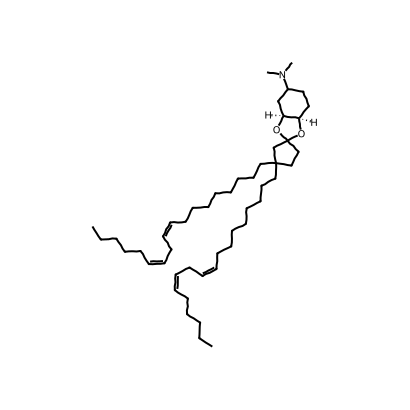 CCCCC/C=C\C/C=C\CCCCCCCCC1(CCCCCCCC/C=C\C/C=C\CCCCC)CCC2(C1)O[C@H]1CC(N(C)C)CC[C@H]1O2